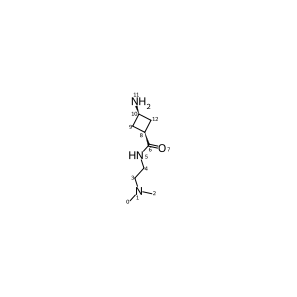 CN(C)CCNC(=O)[C@H]1C[C@@H](N)C1